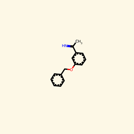 CC(=N)c1cccc(OCc2ccccc2)c1